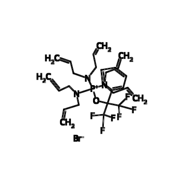 C=CCN(CC=C)[P+](OC(c1ccccc1)(C(F)(F)F)C(F)(F)F)(N(CC=C)CC=C)N(CC=C)CC=C.[Br-]